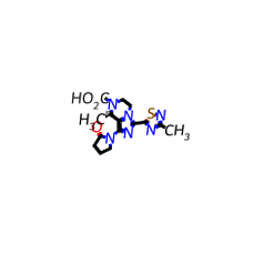 Cc1nsc(-c2nc(N3CCCC3=O)c3n2CCN(C(=O)O)[C@@H]3C)n1